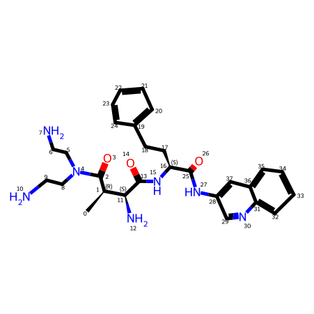 C[C@@H](C(=O)N(CCN)CCN)[C@H](N)C(=O)N[C@@H](CCc1ccccc1)C(=O)Nc1cnc2ccccc2c1